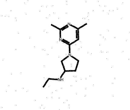 CCNC1CCN(c2cc(C)nc(C)n2)C1